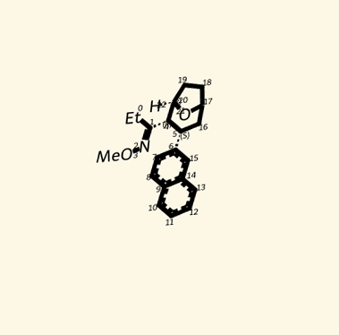 CCC(=NOC)[C@H]1[C@@H](c2ccc3ccccc3c2)CC2CC[C@H]1O2